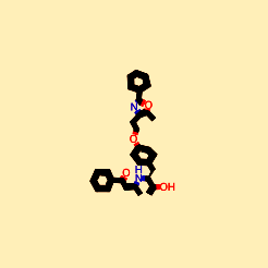 C=C(O)[C@H](Cc1ccc(OCCc2nc(-c3ccccc3)oc2C)cc1)N/C(C)=C\C(=O)c1ccccc1